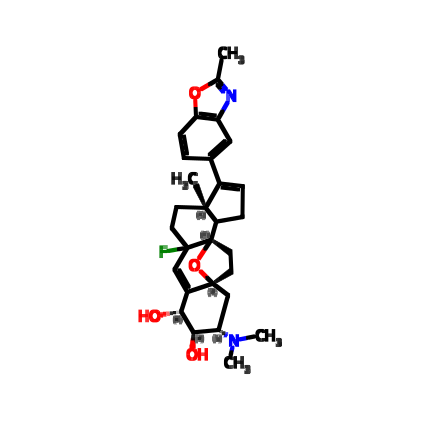 Cc1nc2cc(C3=CCC4[C@@]56CC[C@]7(C[C@H](N(C)C)[C@@H](O)[C@H](O)C7=CC5(F)CC[C@]34C)O6)ccc2o1